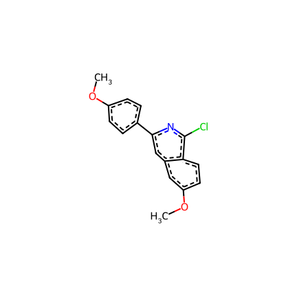 COc1ccc(-c2cc3cc(OC)ccc3c(Cl)n2)cc1